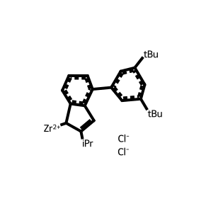 CC(C)C1=Cc2c(-c3cc(C(C)(C)C)cc(C(C)(C)C)c3)cccc2[CH]1[Zr+2].[Cl-].[Cl-]